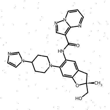 C[C@]1(CO)Cc2cc(NC(=O)c3cnn4cccnc34)c(N3CCC(n4ccnc4)CC3)cc2O1